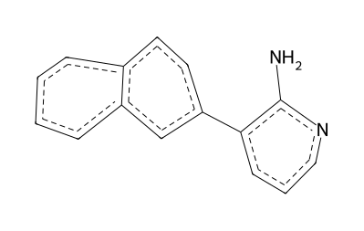 Nc1ncccc1-c1ccc2ccccc2c1